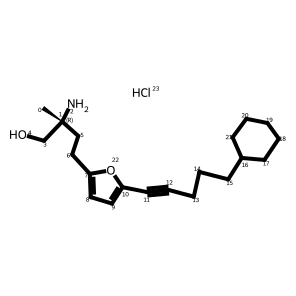 C[C@](N)(CO)CCc1ccc(C#CCCCC2CCCCC2)o1.Cl